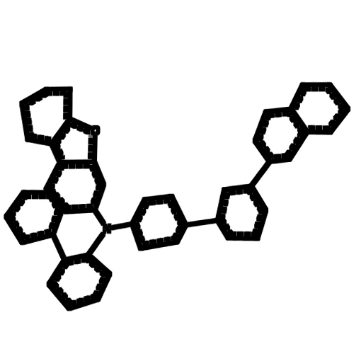 c1ccc(-c2ccccc2N(c2ccc(-c3cccc(-c4ccc5ccccc5c4)c3)cc2)c2ccc3c(c2)oc2ccccc23)cc1